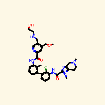 COCc1cc(C(=O)Nc2cccc(-c3cccc(NC(=O)c4nc5c(n4C)CCN(C)C5)c3Cl)c2C)ncc1CNCCO